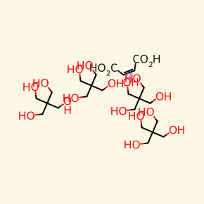 O=C(O)/C=C\C(=O)O.OCC(CO)(CO)CO.OCC(CO)(CO)CO.OCC(CO)(CO)CO.OCC(CO)(CO)CO